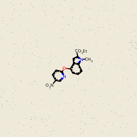 CCOC(=O)c1cc2c(Oc3ccc([N+](=O)[O-])cn3)cccc2n1C